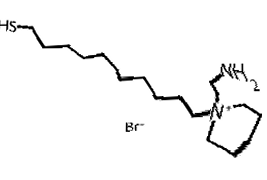 NC[N+]1(CCCCCCCCCCS)CCCCC1.[Br-]